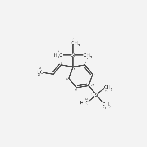 CC=CC1([Si](C)(C)C)C=CC([Si](C)(C)C)=CC1